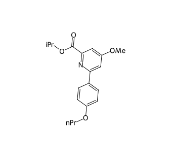 CCCOc1ccc(-c2cc(OC)cc(C(=O)OC(C)C)n2)cc1